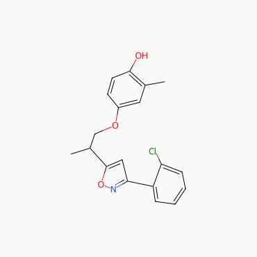 Cc1cc(OCC(C)c2cc(-c3ccccc3Cl)no2)ccc1O